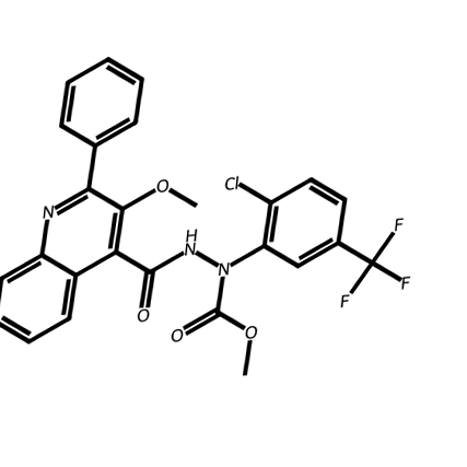 COC(=O)N(NC(=O)c1c(OC)c(-c2ccccc2)nc2ccccc12)c1cc(C(F)(F)F)ccc1Cl